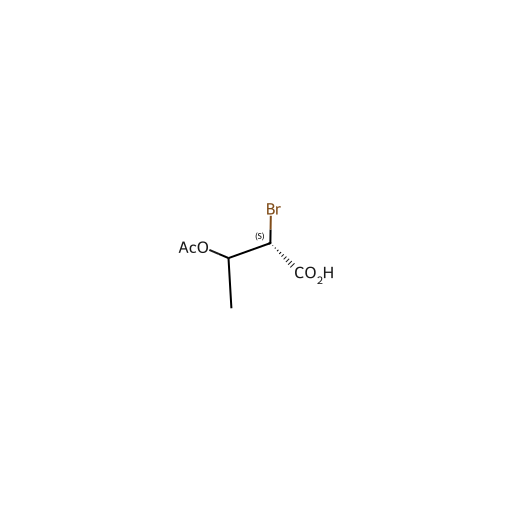 CC(=O)OC(C)[C@H](Br)C(=O)O